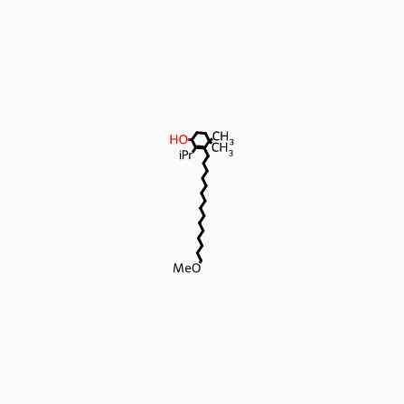 COCCCCCCCCCCCCCCCC1=C(C(C)C)C(O)CCC1(C)C